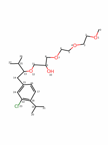 COCCOCCOCC(O)COC(Cc1ccc(C(C)C)c(Cl)c1)C(C)C